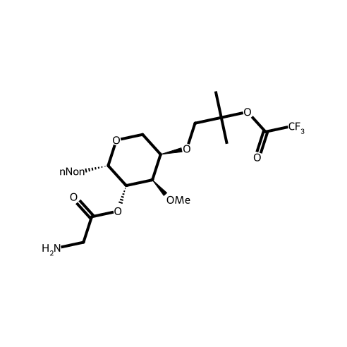 CCCCCCCCC[C@@H]1OC[C@@H](OCC(C)(C)OC(=O)C(F)(F)F)[C@@H](OC)[C@@H]1OC(=O)CN